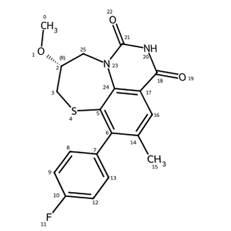 CO[C@H]1CSc2c(-c3ccc(F)cc3)c(C)cc3c(=O)[nH]c(=O)n(c23)C1